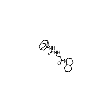 O=C(CCNC(=S)NC12CC3CC(CC(C3)C1)C2)N1CCCC2CCCCC21